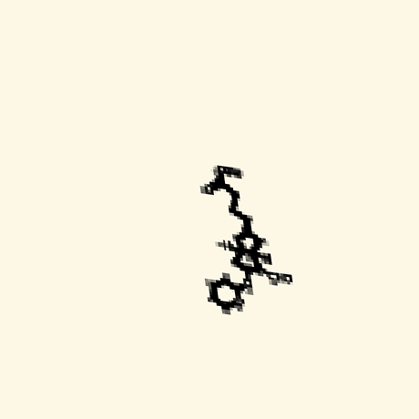 COC(=O)CC/C=C1\C[C@H]2C[C@@H](OC3CCCCO3)[C@H](C=O)[C@H]2C1